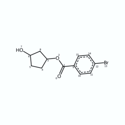 O=C(OC1CCC(O)C1)c1ccc(Br)cc1